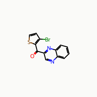 O=C(c1cnc2ccccc2n1)c1sccc1Br